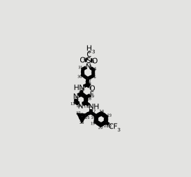 CS(=O)(=O)N1CCC(C(=O)Nc2ncnc(NC(c3ccc(C(F)(F)F)cc3)C3CC3)c2F)CC1